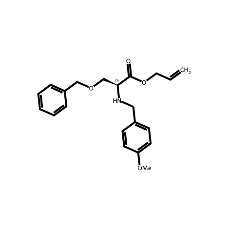 C=CCOC(=O)[C@H](COCc1ccccc1)NCc1ccc(OC)cc1